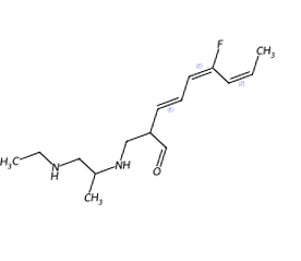 C\C=C/C(F)=C\C=C\C(C=O)CNC(C)CNCC